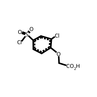 O=C(O)COc1ccc(S(=O)(=O)Cl)cc1Cl